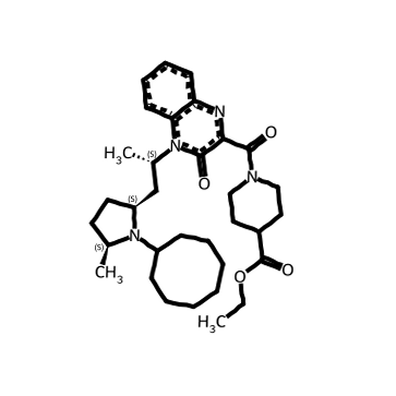 CCOC(=O)C1CCN(C(=O)c2nc3ccccc3n([C@@H](C)C[C@@H]3CC[C@H](C)N3C3CCCCCCC3)c2=O)CC1